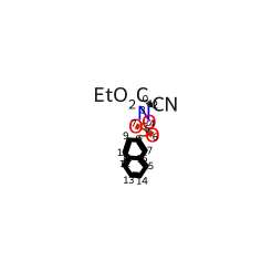 CCOC(=O)/C(C#N)=N/OS(=O)(=O)c1ccc2ccccc2c1